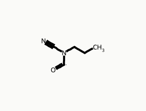 CCCN([C]=O)C#N